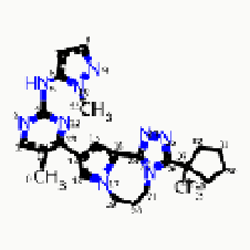 Cc1cnc(Nc2ccnn2C)nc1-c1cc2n(c1)CCCn1c-2nnc1C1(C(F)(F)F)CCCC1